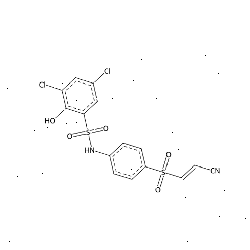 N#CC=CS(=O)(=O)c1ccc(NS(=O)(=O)c2cc(Cl)cc(Cl)c2O)cc1